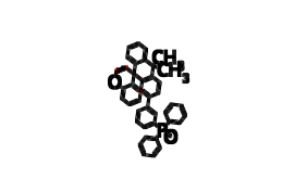 CC1(C)c2ccccc2C2(c3ccccc3Oc3ccccc32)c2cc(-c3cccc(P(=O)(c4ccccc4)c4ccccc4)c3)ccc21